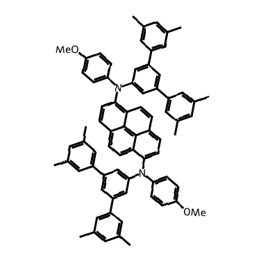 COc1ccc(N(c2cc(-c3cc(C)cc(C)c3)cc(-c3cc(C)cc(C)c3)c2)c2ccc3ccc4c(N(c5ccc(OC)cc5)c5cc(-c6cc(C)cc(C)c6)cc(-c6cc(C)cc(C)c6)c5)ccc5ccc2c3c54)cc1